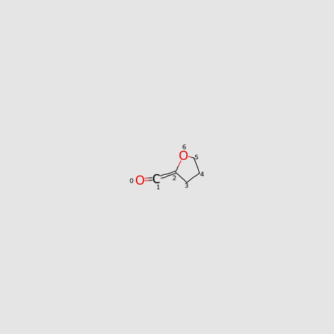 O=C=C1CCCO1